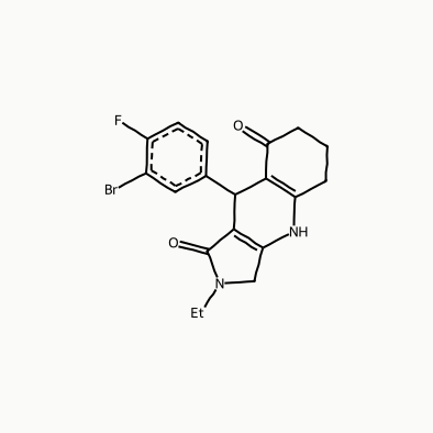 CCN1CC2=C(C1=O)C(c1ccc(F)c(Br)c1)C1=C(CCCC1=O)N2